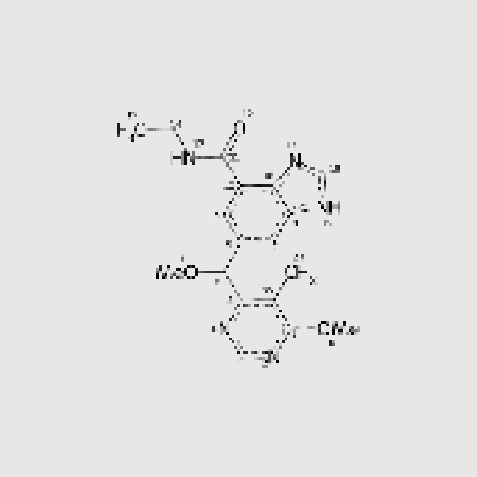 COc1ncnc(C(OC)c2cc(C(=O)NCC(F)(F)F)c3nc[nH]c3c2)c1C